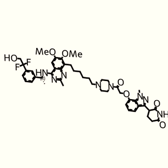 COc1cc2c(N[C@H](C)c3cccc(C(F)(F)CO)c3)nc(C)nc2c(CCCCCCN2CCN(C(=O)COc3cccc4c(C5CCC(=O)NC5=O)nn(C)c34)CC2)c1OC